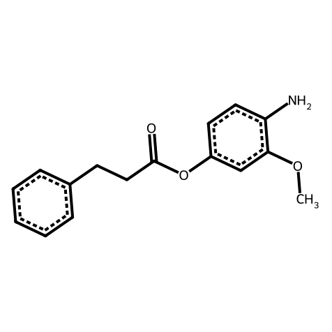 COc1cc(OC(=O)CCc2ccccc2)ccc1N